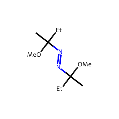 CCC(C)(N=NC(C)(CC)OC)OC